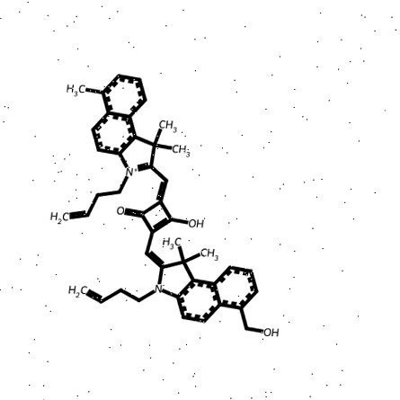 C=CCCN1/C(=C/C2=C(O)C(=C/C3=[N+](CCC=C)c4ccc5c(C)cccc5c4C3(C)C)/C2=O)C(C)(C)c2c1ccc1c(CO)cccc21